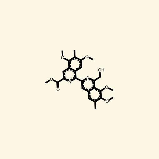 COC(=O)c1cc2c(OC)c(C)c(OC)cc2c(-c2cc3cc(C)c(OC)c(OC)c3c(CO)n2)n1